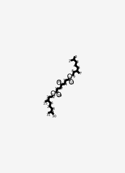 CC(C)CCCC(C)CCOC(=O)CCC(=O)CCC(=O)OCCC(C)CCCC(C)C